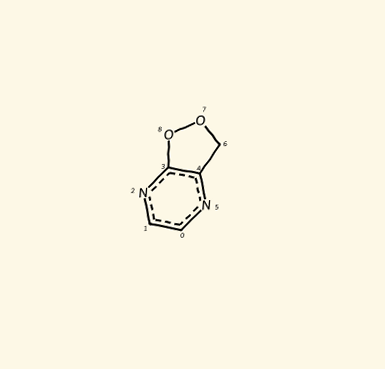 c1cnc2c(n1)COO2